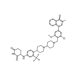 COc1cc(-c2cn(C)c(=O)c3ccccc23)cc(Cl)c1CN1CCC(N2CCC(c3ccc(NC4CCC(=O)NC4=O)cc3C(F)(F)F)CC2)CC1